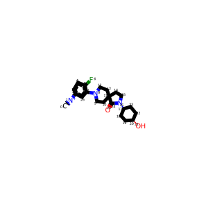 [C-]#[N+]c1ccc(F)c(N2CCC3(CC2)CCN([C@H]2CC[C@@H](O)CC2)C3=O)c1